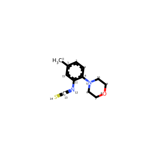 Cc1ccc(N2CCOCC2)c(N=C=S)c1